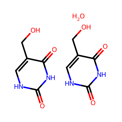 O.O=c1[nH]cc(CO)c(=O)[nH]1.O=c1[nH]cc(CO)c(=O)[nH]1